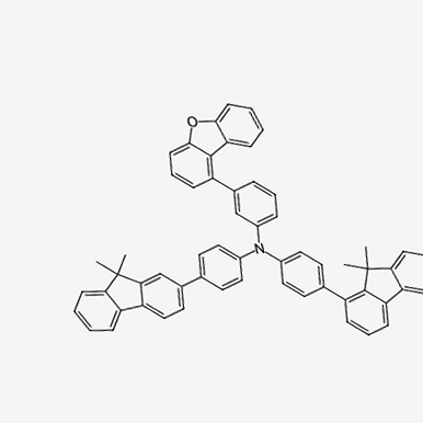 CC1(C)c2ccccc2-c2ccc(-c3ccc(N(c4ccc(-c5cccc6c5C(C)(C)c5ccccc5-6)cc4)c4cccc(-c5cccc6oc7ccccc7c56)c4)cc3)cc21